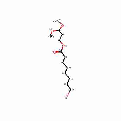 CCCOC(CCOC(=O)CCCCCCCBr)OCCC